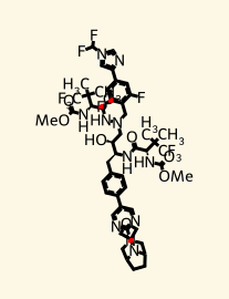 COC(=O)N[C@H](C(=O)N[C@@H](Cc1ccc(-c2cnc(N3CC4CCC(C3)N4C3COC3)nc2)cc1)[C@@H](O)CN(Cc1c(F)cc(-c2cn(C(F)F)cn2)cc1F)NC(=O)[C@@H](NC(=O)OC)C(C)(C)C(F)(F)F)C(C)(C)C(F)(F)F